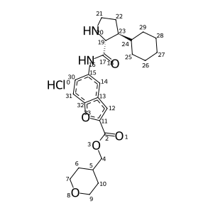 Cl.O=C(OCC1CCOCC1)c1cc2cc(NC(=O)[C@@H]3NCC[C@H]3C3CCCCC3)ccc2o1